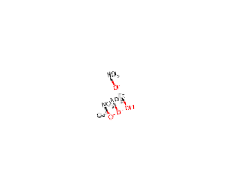 CCO.O=[N+]([O-])[O-].O=[N+]([O-])[O-].O=[N+]([O-])[O-].[Ga+3]